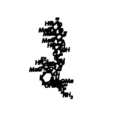 CCN[C@H]1CO[C@@H](O[C@H]2[C@H](O[C@H]3C#CC=CC#C[C@]4(O)CC(=O)C(NC(=O)OC)=C3/C4=C\CSSC(C)(C)CCN)O[C@H](C)[C@@H](NO[C@H]3C[C@H](O)[C@H]([SH]=C(O)c4c(C)c(I)c(O[C@@H]5O[C@@H](C)[C@H](O)[C@@H](OC)[C@H]5O)c(OC)c4OC)[C@@H](C)O3)[C@@H]2O)C[C@@H]1OC